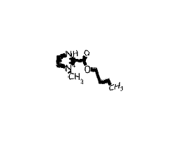 CCCCOC(=O)c1[nH]cc[n+]1C